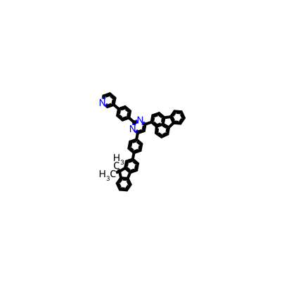 CC1(C)c2ccccc2-c2ccc(-c3ccc(-c4cc(-c5ccc6c7c(cccc57)-c5ccccc5-6)nc(-c5ccc(-c6cccnc6)cc5)n4)cc3)cc21